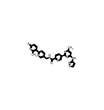 Cc1cc(Nc2ccon2)nc(-c2ccc(C(=O)NCc3ccc(-c4ccc(F)nc4C)nc3)nc2)n1